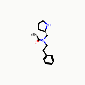 CCCCC(=O)N(CCc1ccccc1)C[C@@H]1CCCN1